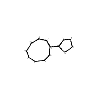 C1CCCC[C](C2CCCC2)CCC1